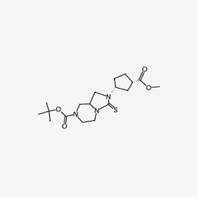 COC(=O)[C@H]1CC[C@@H](N2CC3CN(C(=O)OC(C)(C)C)CCN3C2=S)C1